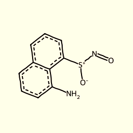 Nc1cccc2cccc([S+]([O-])N=O)c12